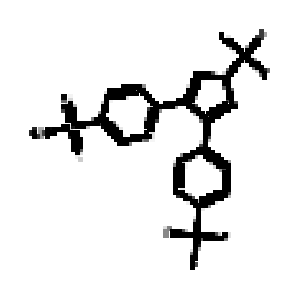 NS(=O)(=O)c1ccc(C2=CC(C(F)(F)F)C=C2c2ccc(C(F)(F)F)cc2)nc1